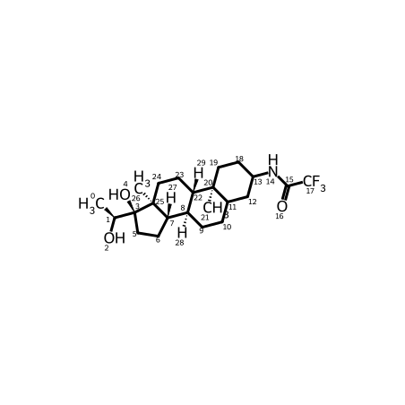 C[C@H](O)[C@@]1(O)CC[C@H]2[C@@H]3CCC4CC(NC(=O)C(F)(F)F)CC[C@]4(C)[C@H]3CC[C@@]21C